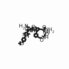 Cc1cc2cc(c1NC(=O)[C@H](CCN)NC(=O)c1cnc(-c3ccc(OC(C)(C)C)cc3)nc1C)-c1cccc(c1)CC(=O)NCC(=O)NC(C(N)=O)C2